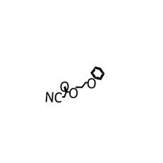 N#CCC(=O)OCCCOc1ccccc1